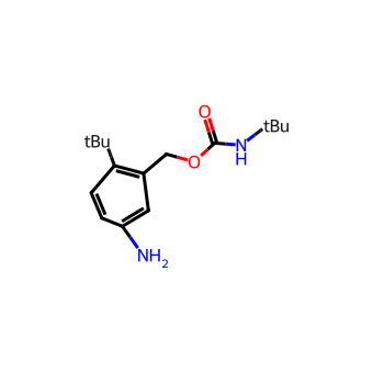 CC(C)(C)NC(=O)OCc1cc(N)ccc1C(C)(C)C